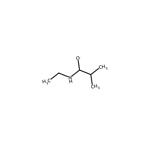 CCNC([O])C(C)C